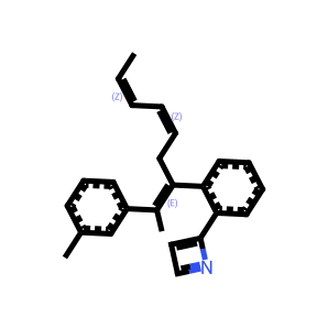 C/C=C\C=C/C/C(=C(/C)c1cccc(C)c1)c1ccccc1C1=CC=N1